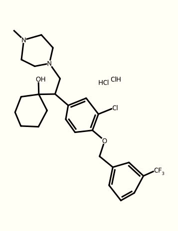 CN1CCN(CC(c2ccc(OCc3cccc(C(F)(F)F)c3)c(Cl)c2)C2(O)CCCCC2)CC1.Cl.Cl